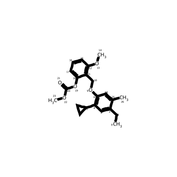 CCc1cc(C2CC2)c(OCc2c(OC)cccc2OC(=O)OC)cc1C